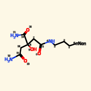 CCCCCCCCCCCCNC(=O)CC(O)(CC(N)=O)C(N)=O